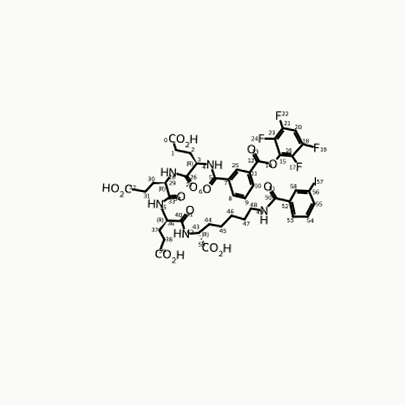 O=C(O)CC[C@@H](NC(=O)c1cccc(C(=O)Oc2c(F)c(F)cc(F)c2F)c1)C(=O)N[C@H](CCC(=O)O)C(=O)N[C@H](CCC(=O)O)C(=O)N[C@H](CCCCCNC(=O)c1cccc(I)c1)C(=O)O